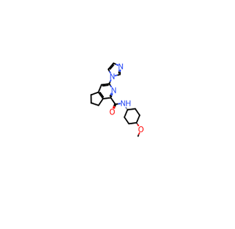 CO[C@H]1CC[C@H](NC(=O)c2nc(-n3ccnc3)cc3c2CCC3)CC1